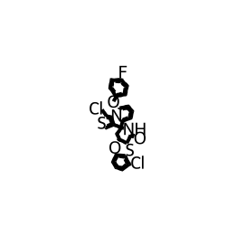 O=C1CC(c2csc(Cl)c2)(c2cccc(Oc3ccc(F)cc3)n2)NC(=O)C1Sc1ccccc1Cl